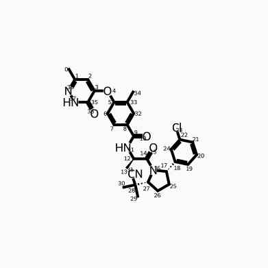 Cc1cc(Oc2ccc(C(=O)N[C@H](C)C(=O)N3[C@H](c4cccc(Cl)c4)CC[C@@H]3C(C)(C)C#N)cc2C)c(=O)[nH]n1